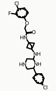 O=C(COc1ccc(Cl)c(F)c1)NC12CC(NC3CNCC(c4ccc(Cl)cc4)N3)(C1)C2